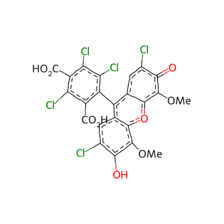 COc1c2oc3c(OC)c(O)c(Cl)cc3c(-c3c(Cl)c(Cl)c(C(=O)O)c(Cl)c3C(=O)O)c-2cc(Cl)c1=O